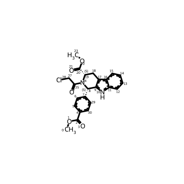 COC(=O)c1ccc([C@H]2c3[nH]c4ccccc4c3C[C@@H](C(=O)OC)N2C(=O)CCl)cc1